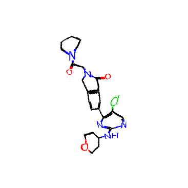 O=C(CN1Cc2ccc(-c3nc(NC4CCOCC4)ncc3Cl)cc2C1=O)N1CCCCC1